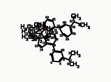 CC(C)c1cccc(-c2cccc3c2C=C[CH]3[Hf]([CH3])([CH3])(=[SiH2])([CH](C)C)([CH](C)C)[CH]2C=Cc3c(-c4cccc(C(C)C)c4)cccc32)c1